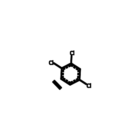 C=C.Clc1ccc(Cl)c(Cl)c1